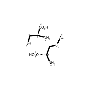 CC(=O)SC[C@H](N)C(=O)O.N[C@@H](CS)C(=O)O